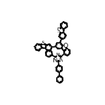 c1ccc(-c2ccc(-c3nc(-c4ccccc4)nc(-c4cccc5oc6c(-c7ccc8c(c7)sc7ccccc78)cc(-c7ccc8c(c7)sc7ccccc78)cc6c45)n3)cc2)cc1